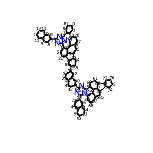 c1ccc(-c2nc(-c3ccc4ccccc4c3)nc(-c3ccc4c5c(cc6ccccc6c35)-c3ccc(-c5ccc6ccc(-c7nc(-c8ccc9ccccc9c8)nc(-c8ccc9c%10c(cc%11ccccc%11c8%10)-c8ccccc8-9)n7)cc6c5)cc3-4)n2)cc1